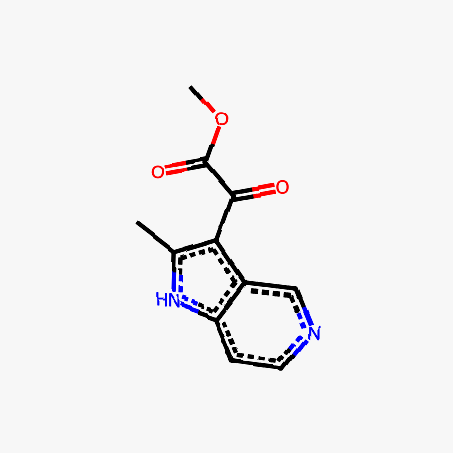 COC(=O)C(=O)c1c(C)[nH]c2ccncc12